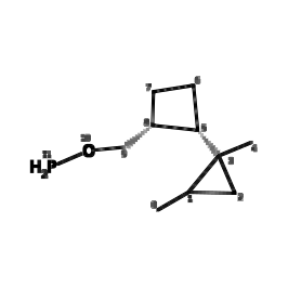 CC1CC1(C)[C@H]1CC[C@H]1COP